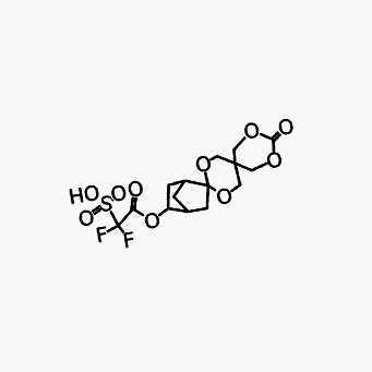 O=C1OCC2(CO1)COC1(CC3CC1CC3OC(=O)C(F)(F)S(=O)(=O)O)OC2